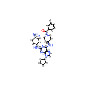 Cc1cccc(C(=O)N2CCC(Nc3nc(NC4CCC(N)CC4)nc4c3ncn4C3CCCC3)CC2)c1